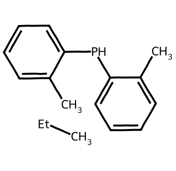 CCC.Cc1ccccc1Pc1ccccc1C